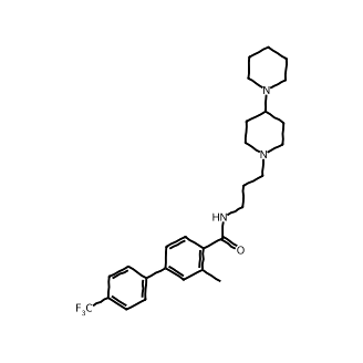 Cc1cc(-c2ccc(C(F)(F)F)cc2)ccc1C(=O)NCCCN1CCC(N2CCCCC2)CC1